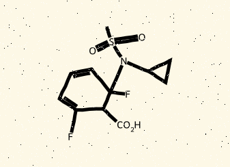 CS(=O)(=O)N(C1CC1)C1(F)C=CC=C(F)C1C(=O)O